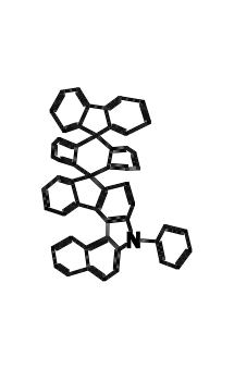 c1ccc(-n2c3ccc4c(c3c3c5ccccc5ccc32)-c2ccccc2C42c3ccccc3C3(c4ccccc4-c4ccccc43)c3ccccc32)cc1